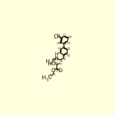 CCOC(=O)[C@H](O)C[C@@H](Cc1ccc(-c2cccc(Cl)c2)cc1)NC